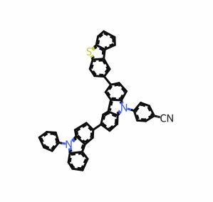 N#Cc1ccc(-n2c3ccc(-c4ccc5sc6ccccc6c5c4)cc3c3cc(-c4ccc5c(c4)c4ccccc4n5-c4ccccc4)ccc32)cc1